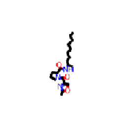 CCCCCCCCC(C)NC(=O)C1CCCN1C(=O)c1coc(C)n1